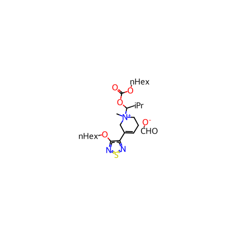 CCCCCCOC(=O)OC(C(C)C)[N+]1(C)CCC=C(c2nsnc2OCCCCCC)C1.O=C[O-]